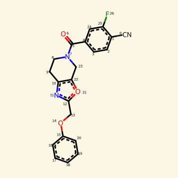 N#Cc1ccc(C(=O)N2CCc3nc(COc4ccccc4)oc3C2)cc1F